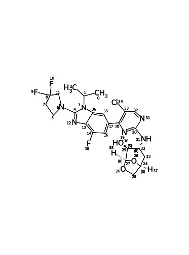 CC(C)n1c(N2CCC(F)(F)C2)nc2c(F)cc(-c3nc(N[C@@H]4C[C@H]5CO[C@H](O5)[C@H]4O)ncc3Cl)cc21